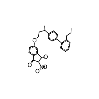 CCCc1ccccc1-c1ccc(C(C)CCOc2ccc3c(c2)C(=O)C([N+](=O)[O-])C3=O)cc1